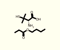 CC(C)(S)[C@@H](N)C(=O)O.CCCCOC(=O)CC